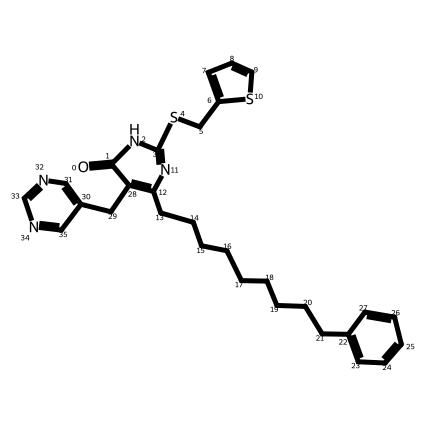 O=c1[nH]c(SCc2cccs2)nc(CCCCCCCCCc2ccccc2)c1Cc1cncnc1